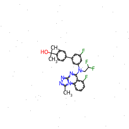 Cc1nnc2nc(N(CC(F)F)c3cc(F)cc(-c4ccc(C(C)(C)O)cc4)c3)c3c(F)cccc3n12